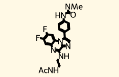 CNC(=O)Nc1ccc(-c2cnc3c(NCCNC(C)=O)nc4cc(F)c(F)cc4n23)cc1